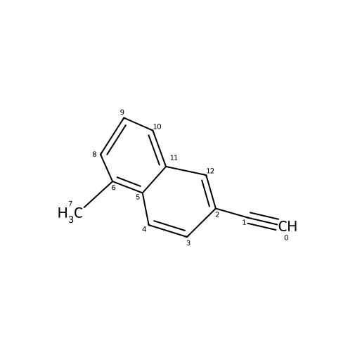 C#Cc1ccc2c(C)cccc2c1